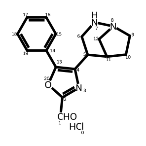 Cl.O=Cc1nc(C2CNN3CCC2C3)c(-c2ccccc2)o1